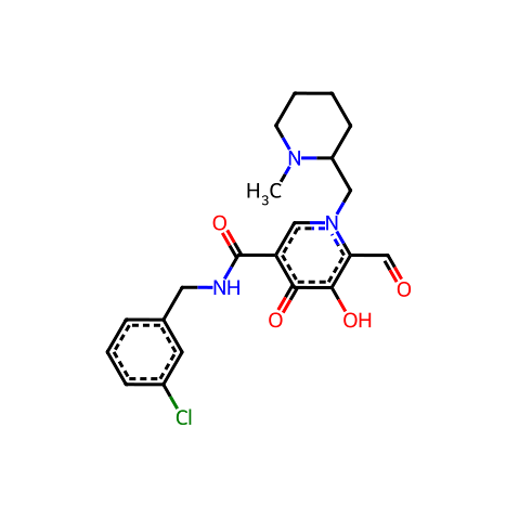 CN1CCCCC1Cn1cc(C(=O)NCc2cccc(Cl)c2)c(=O)c(O)c1C=O